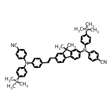 CC1(C)c2cc(/C=C/c3ccc(N(c4ccc(C#N)cc4)c4ccc([Si](C)(C)C)cc4)cc3)ccc2-c2ccc(N(c3ccc(C#N)cc3)c3ccc([Si](C)(C)C)cc3)cc21